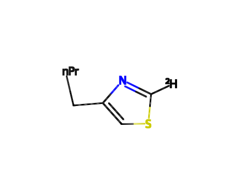 [2H]c1nc(CCCC)cs1